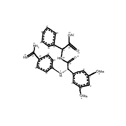 COc1cc(OC)cc([C@H](Nc2ccc(C(=N)N)cc2)C(=O)NC(C(=O)OC(C)=O)c2ccccc2)c1